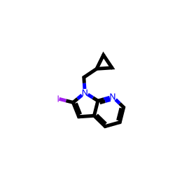 Ic1cc2cccnc2n1CC1CC1